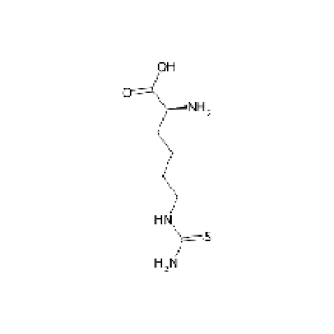 NC(=S)NCCCC[C@H](N)C(=O)O